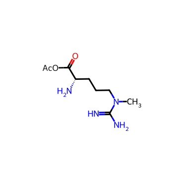 CC(=O)OC(=O)[C@@H](N)CCCN(C)C(=N)N